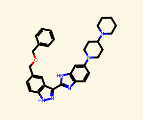 c1ccc(COCc2ccc3[nH]nc(-c4nc5ccc(N6CCC(N7CCCCC7)CC6)cc5[nH]4)c3c2)cc1